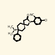 CN(C)[C@]1(c2ccccc2)CC[C@@]2(CC1)CC(=O)N(c1ccc(Cl)cc1C#N)C2